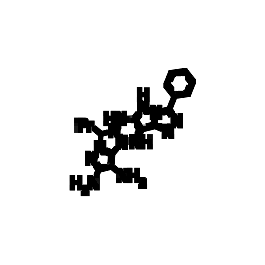 CC(C)C1n2nc(N)c(N)c2-n2[nH]c3c([nH]n21)[nH]n1c(-c2ccccc2)nnc31